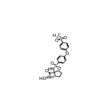 CS(=O)(=O)c1ccc(Oc2ccc(S(=O)(=O)NC3(C(=O)NO)CCCC3)cc2)cc1